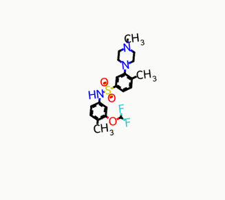 Cc1ccc(NS(=O)(=O)c2ccc(C)c(N3CCN(C)CC3)c2)cc1OC(F)F